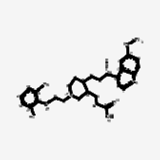 COc1ccc2nccc([C@@H](F)CCC3CCN(CCSc4c(F)cccc4F)CC3CCC(=O)O)c2c1